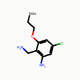 CNCCOc1cc(Cl)cc(N)c1CN